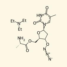 CCN(CC)CC.Cc1cn([C@H]2CC(ON=[N+]=[N-])[C@@H](COC(=O)[C@H](C)N)O2)c(=O)[nH]c1=O